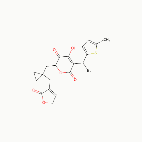 CCC(C1=C(O)C(=O)C(CC2(CC3=CCOC3=O)CC2)OC1=O)c1ccc(C)s1